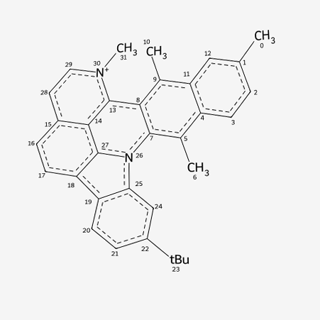 Cc1ccc2c(C)c3c(c(C)c2c1)c1c2c(ccc4c5ccc(C(C)(C)C)cc5n3c42)cc[n+]1C